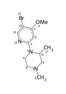 COc1cc(N2CCN(C)CC2C)ncc1Br